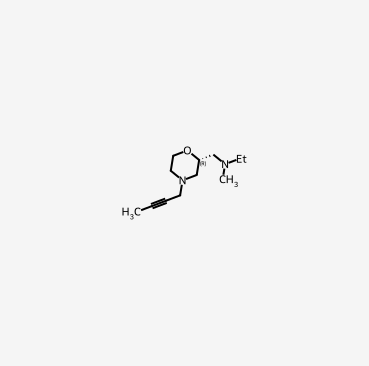 CC#CCN1CCO[C@H](CN(C)CC)C1